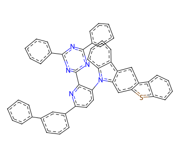 c1ccc(-c2cccc(-c3ccc(-n4c5ccccc5c5cc6c(cc54)sc4ccccc46)c(-c4nc(-c5ccccc5)nc(-c5ccccc5)n4)n3)c2)cc1